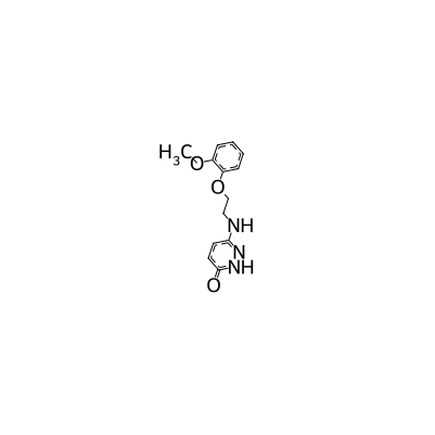 COc1ccccc1OCCNc1ccc(=O)[nH]n1